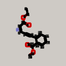 CCOC(=O)/C=C\C#Cc1ccccc1C(=O)OC